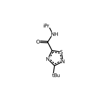 CC(C)NC(=O)c1nc(C(C)(C)C)ns1